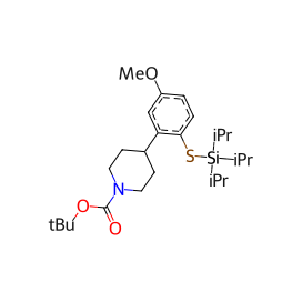 COc1ccc(S[Si](C(C)C)(C(C)C)C(C)C)c(C2CCN(C(=O)OC(C)(C)C)CC2)c1